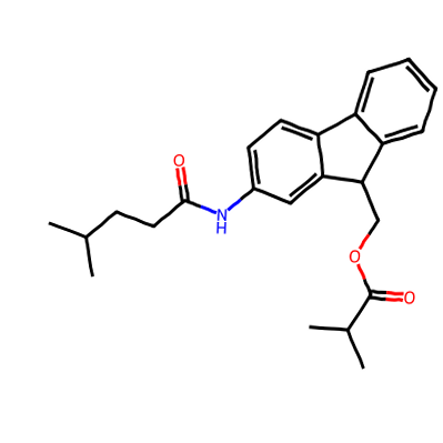 CC(C)CCC(=O)Nc1ccc2c(c1)C(COC(=O)C(C)C)c1ccccc1-2